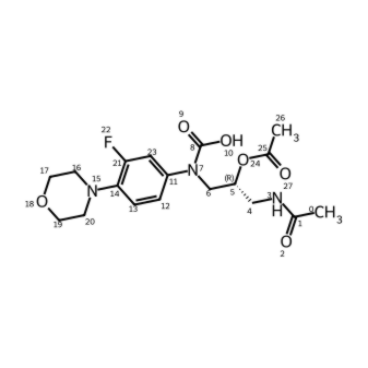 CC(=O)NC[C@H](CN(C(=O)O)c1ccc(N2CCOCC2)c(F)c1)OC(C)=O